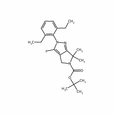 CCc1cccc(CC)c1-n1nc2c(c1I)CN(C(=O)OC(C)(C)C)C2(C)C